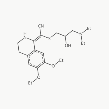 CCOc1cc2c(cc1OCC)C(=C(C#N)SCC(O)CN(CC)CC)NCC2